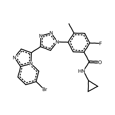 Cc1cc(F)c(C(=O)NC2CC2)cc1-n1cc(-c2cnc3ccc(Br)cn23)nn1